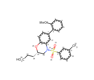 COc1ccccc1-c1ccc2c(c1)N(S(=O)(=O)c1cccc(C(F)(F)F)c1)C[C@H](CCC(=O)O)O2